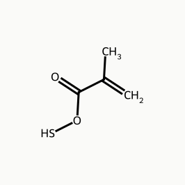 C=C(C)C(=O)OS